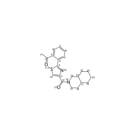 CC(=O)c1ccccc1-c1nc(C(=O)N2CCC3CCCCC3C2)cs1